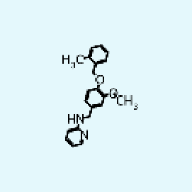 COc1cc(CNc2ccccn2)ccc1OCc1ccccc1C